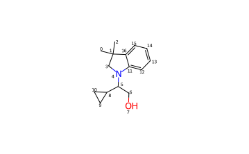 CC1(C)CN(C(CO)C2CC2)c2ccccc21